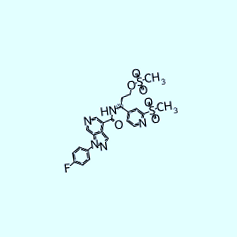 CS(=O)(=O)OCC[C@H](NC(=O)c1cncc2c1cnn2-c1ccc(F)cc1)c1ccnc(S(C)(=O)=O)c1